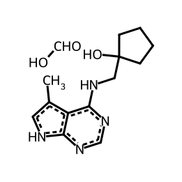 Cc1c[nH]c2ncnc(NCC3(O)CCCC3)c12.O=CO